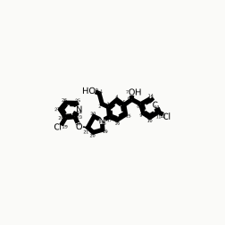 OCCc1cc(C(O)c2ccc(Cl)cc2)ccc1N1CC[C@H](Oc2ncccc2Cl)C1